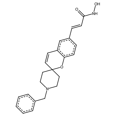 O=C(C=Cc1ccc2c(c1)C=CC1(CCN(Cc3ccccc3)CC1)O2)NO